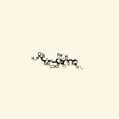 CN(C)C(=O)Cc1nnc(SCC2=C(C(=O)[O-])N3C(=O)C(NC(=O)Cc4csc(N)n4)[C@@H]3SC2)s1.[Na+]